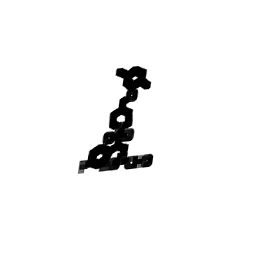 Cc1ccc(C)c(OCC2CCN(S(=O)(=O)C(CN(O)C=O)c3ccc(F)cc3)CC2)c1